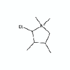 CCC1C(C)C(C)C[N+]1(C)C